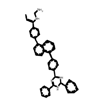 C/C=C(\NCN)c1ccc(-c2cccc3c(-c4ccc(C5N=C(c6ccccc6)NC(c6ccccc6)N5)cc4)cccc23)cc1